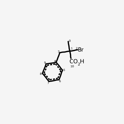 CC(Br)(Cc1ccccc1)C(=O)O